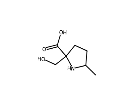 CC1CCC(CO)(C(=O)O)N1